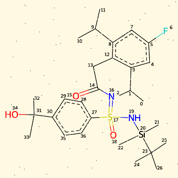 CC(C)c1cc(F)cc(C(C)C)c1CC(=O)N=S(=O)(N[Si](C)(C)C(C)(C)C)c1ccc(C(C)(C)O)cc1